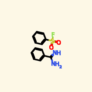 N=C(N)c1ccccc1.O=S(=O)(F)c1ccccc1